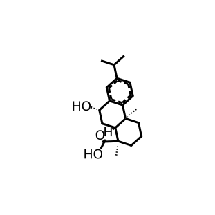 CC(C)c1ccc2c(c1)[C@@H](O)C[C@H]1[C@](C)(C(=O)O)CCC[C@]21C